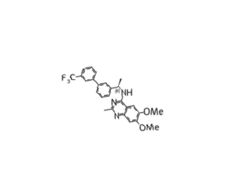 COc1cc2nc(C)nc(N[C@H](C)c3cccc(-c4cccc(C(F)(F)F)c4)c3)c2cc1OC